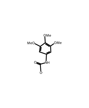 COc1cc(NC([O])=O)cc(OC)c1OC